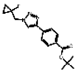 CC(C)(C)OC(=O)c1ccc(-c2cn(CC3(F)CC3)nn2)cc1